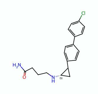 NC(=O)CCCN[C@H]1CC1c1ccc(-c2ccc(Cl)cc2)cc1